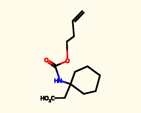 C=CCCOC(=O)NC1(CC(=O)O)CCCCC1